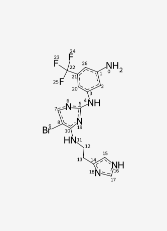 Nc1cc(Nc2ncc(Br)c(NCCc3c[nH]cn3)n2)cc(C(F)(F)F)c1